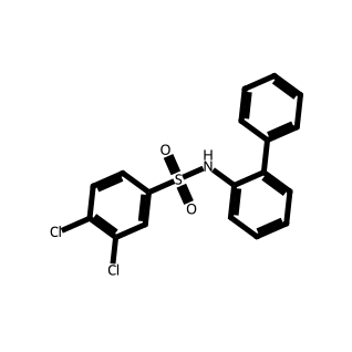 O=S(=O)(Nc1ccccc1-c1ccccc1)c1ccc(Cl)c(Cl)c1